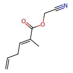 C=CC/C=C(\C)C(=O)OCC#N